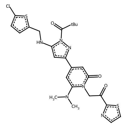 CN(C)c1cc(-c2cc(NCc3ccc(Cl)s3)n(C(=O)C(C)(C)C)n2)cc(=O)n1CC(=O)c1nccs1